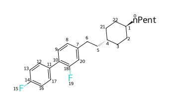 CCCCC[C@H]1CC[C@H](CCc2ccc(-c3ccc(F)cc3)c(F)c2)CC1